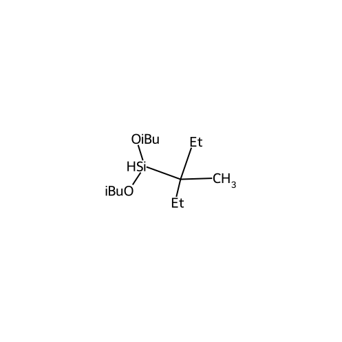 CCC(C)(CC)[SiH](OCC(C)C)OCC(C)C